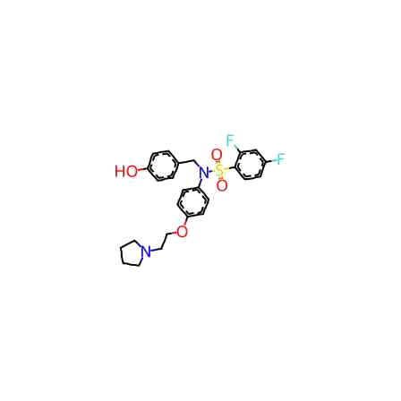 O=S(=O)(c1ccc(F)cc1F)N(Cc1ccc(O)cc1)c1ccc(OCCN2CCCC2)cc1